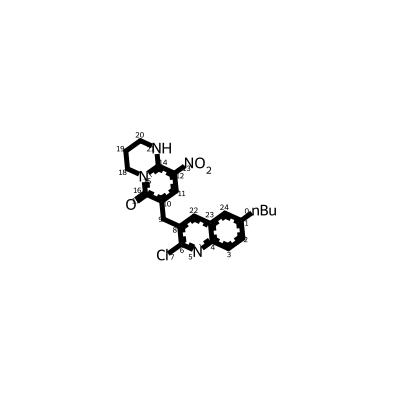 CCCCc1ccc2nc(Cl)c(Cc3cc([N+](=O)[O-])c4n(c3=O)CCCN4)cc2c1